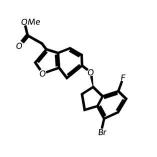 COC(=O)Cc1coc2cc(O[C@@H]3CCc4c(Br)ccc(F)c43)ccc12